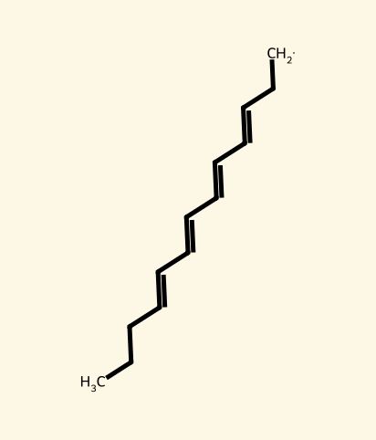 [CH2]CC=CC=CC=CC=CCCC